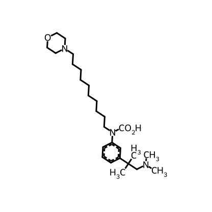 CN(C)CC(C)(C)c1cccc(N(CCCCCCCCCCN2CCOCC2)C(=O)O)c1